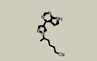 CC(CCCCC#N)n1cc(-c2ncnc3[nH]ccc23)cn1